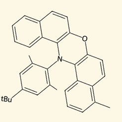 Cc1cc(C(C)(C)C)cc(C)c1N1c2c(ccc3ccccc23)Oc2ccc3c(C)cccc3c21